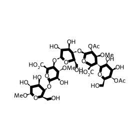 CO[C@H]1O[C@H](CO)[C@@H](O[C@@H]2O[C@@H](C(=O)O)[C@@H](O[C@H]3O[C@H](CO)[C@@H](O[C@@H]4O[C@H](C(=O)O)[C@@H](C5O[C@H](CO)[C@@H](OC(C)=O)[C@H](O)[C@H]5O)[C@H](OC)[C@H]4OC(C)=O)[C@H](O)[C@H]3O)[C@H](OC)[C@H]2O)[C@H](O)[C@H]1O